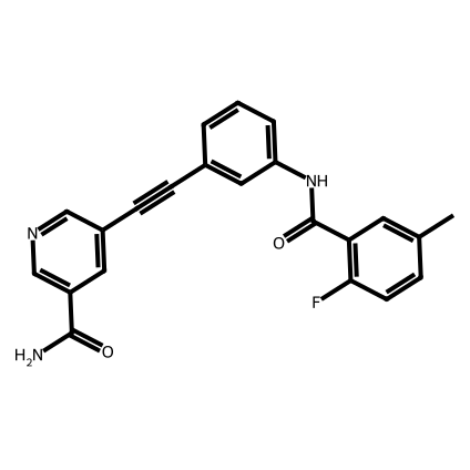 Cc1ccc(F)c(C(=O)Nc2cccc(C#Cc3cncc(C(N)=O)c3)c2)c1